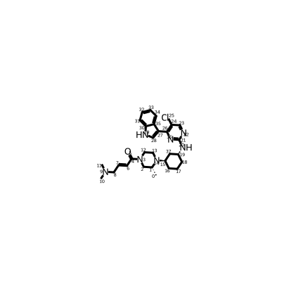 C[C@@H]1CN(C(=O)/C=C/CN(C)C)CCN1[C@@H]1CCC[C@@H](Nc2ncc(Cl)c(-c3c[nH]c4ccccc34)n2)C1